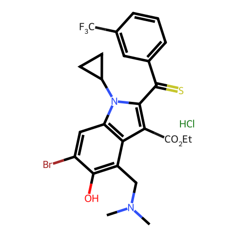 CCOC(=O)c1c(C(=S)c2cccc(C(F)(F)F)c2)n(C2CC2)c2cc(Br)c(O)c(CN(C)C)c12.Cl